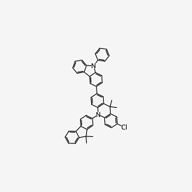 CC1(C)c2ccccc2-c2ccc(N3c4ccc(Cl)cc4C(C)(C)c4cc(-c5ccc6c(c5)c5ccccc5n6-c5ccccc5)ccc43)cc21